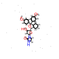 COc1ccc(C(OC[C@H]2O[C@@H](n3cc[nH]c3=O)C[C@@H]2O)(c2ccccc2)c2ccc(OC)cc2)cc1